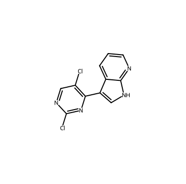 Clc1ncc(Cl)c(-c2c[nH]c3ncccc23)n1